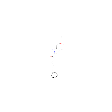 CCOC(=O)CC1N=C(C(=O)CCCCc2ccccc2)SC1C